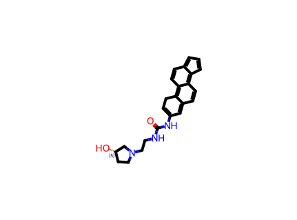 O=C(NCCN1CC[C@H](O)C1)NC1=CCc2c(ccc3c4c(ccc23)=CC=C4)=C1